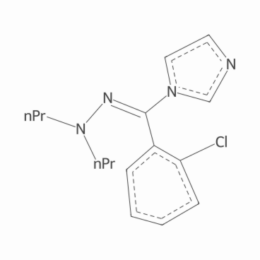 CCCN(CCC)/N=C(\c1ccccc1Cl)n1ccnc1